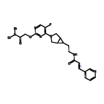 CCN(CC)C(=O)COc1ncc(F)c(N2CC3C(CCNC(=O)/C=C/c4cccnc4)C3C2)n1